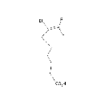 CCC(CCCCCC(=O)O)=C(F)F